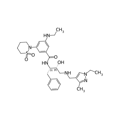 CCNc1cc(C(=O)N[C@@H](Cc2ccccc2)[C@H](O)CNCc2cn(CC)nc2C)cc(N2CCCCS2(=O)=O)c1